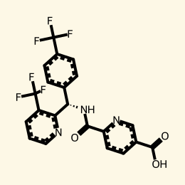 O=C(O)c1ccc(C(=O)N[C@@H](c2ccc(C(F)(F)F)cc2)c2ncccc2C(F)(F)F)nc1